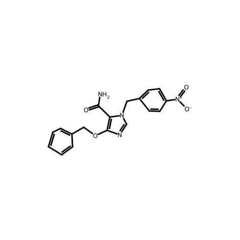 NC(=O)c1c(OCc2ccccc2)ncn1Cc1ccc([N+](=O)[O-])cc1